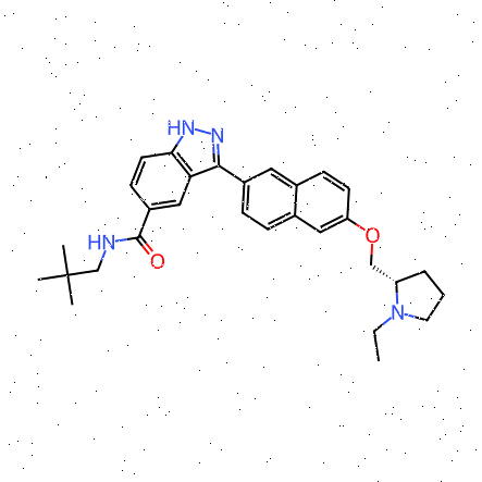 CCN1CCC[C@H]1COc1ccc2cc(-c3n[nH]c4ccc(C(=O)NCC(C)(C)C)cc34)ccc2c1